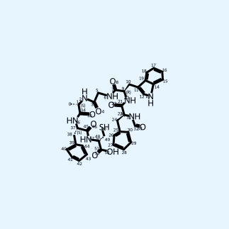 C[C@H](NC(=O)CNC(=O)[C@@H](Cc1c[nH]c2ccccc12)NC(=O)[C@H](Cc1ccccc1)NC=O)C(=O)N[C@@H](Cc1ccccc1)C(=O)N[C@H](CS)C(=O)O